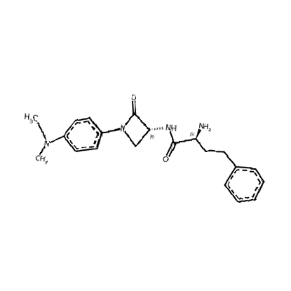 CN(C)c1ccc(N2C[C@@H](NC(=O)[C@@H](N)CCc3ccccc3)C2=O)cc1